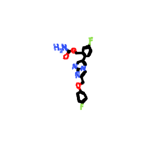 NC(=O)OCc1cc(F)ccc1-c1cnc2nc(COc3ccc(F)cc3)cn2c1